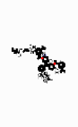 CCC(C)(C)C(=O)OCCCNS(=O)(=O)c1cc(C(C)C)c(/N=c2\ccc3c(-c4cccc(S(=O)(=O)NS(=O)(=O)C(F)(F)F)c4)c4ccc(Nc5c(C(C)C)cccc5C(C)C)cc4oc-3c2)c(C(C)C)c1